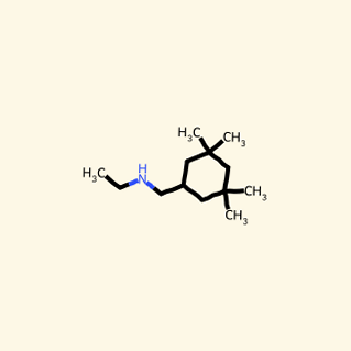 CCNCC1CC(C)(C)CC(C)(C)C1